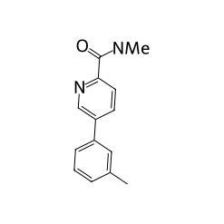 CNC(=O)c1ccc(-c2cccc(C)c2)cn1